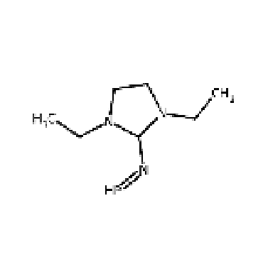 CCN1CCN(CC)C1N=P